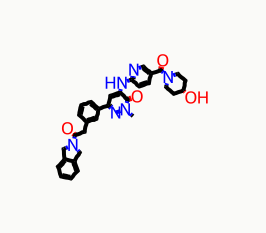 Cn1nc(-c2cccc(CC(=O)N3Cc4ccccc4C3)c2)cc(Nc2ccc(C(=O)N3CCC(O)CC3)cn2)c1=O